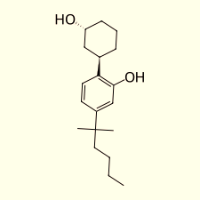 CCCCC(C)(C)c1ccc([C@@H]2CCC[C@@H](O)C2)c(O)c1